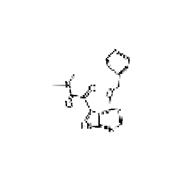 CN(C)C(=O)C(=O)c1c[nH]c2nccc(OCc3ccccc3)c12